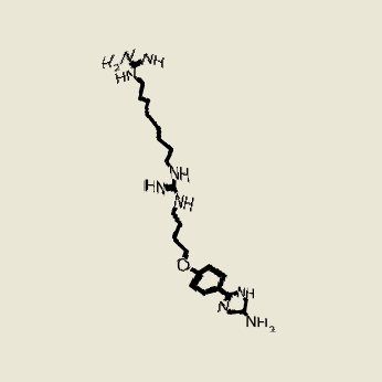 N=C(N)NCCCCCCCCNC(=N)NCCCCOc1ccc(C2=NCC(N)CN2)cc1